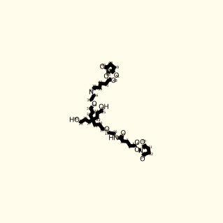 O=C(CCCC(=O)ON1C(=O)CCC1=O)NCCOCCCC(CCCO)(CCCO)CCCOCC/N=C\CCCC(=O)ON1C(=O)CCC1=O